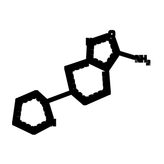 Nc1onc2cc(-c3ccccn3)ccc12